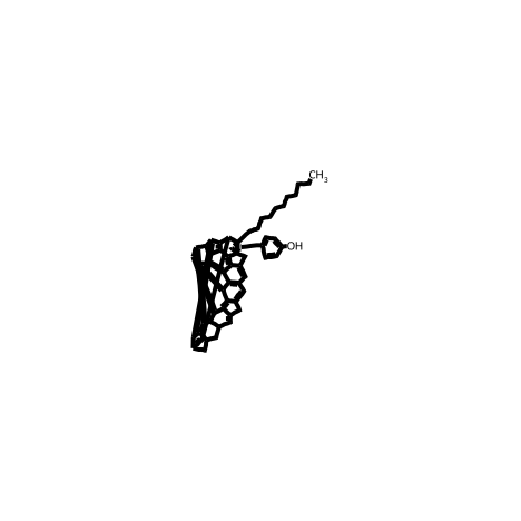 CCCCCCCCCCCC1C2C3C=C4CC5CC6C=C7Cc8cc9cc%10c%11c(c%12c3c3c%13c%14c%15c(c7c8c7c9c%11c(c%12%13)c%157)C6C=%14C5C=34)C2(C%10)CN1c1ccc(O)cc1